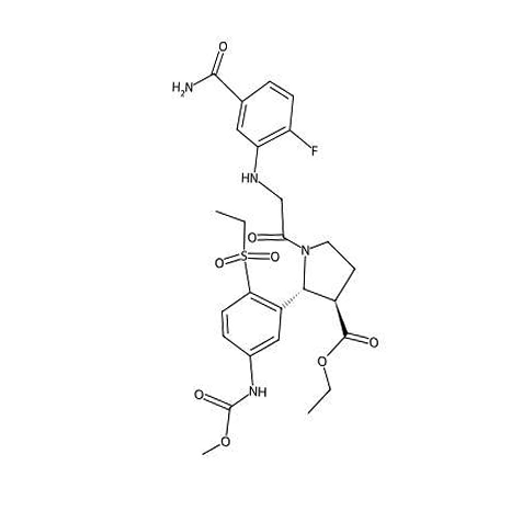 CCOC(=O)[C@@H]1CCN(C(=O)CNc2cc(C(N)=O)ccc2F)[C@H]1c1cc(NC(=O)OC)ccc1S(=O)(=O)CC